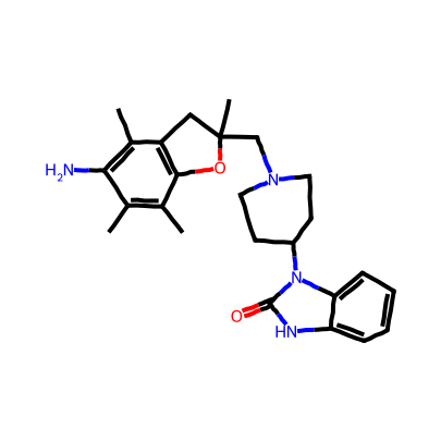 Cc1c(C)c2c(c(C)c1N)CC(C)(CN1CCC(n3c(=O)[nH]c4ccccc43)CC1)O2